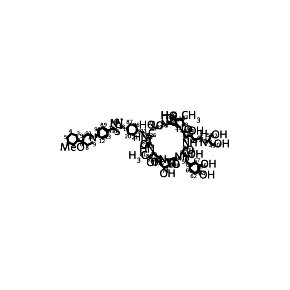 COC1(C2CCCCC2)CCN(c2ccc(-c3nnc([C@H]4CC[C@H](CN[C@H]5C[C@@H](O)CNC(=O)[C@@H]6[C@@H](O)[C@@H](C)CN6C(=O)[C@H]([C@H](O)CCNC(CO)CO)NC(=O)[C@H]([C@H](O)Cc6ccc(O)c(O)c6)NC(=O)[C@@H]6C[C@@H](O)CN6C(=O)[C@H]([C@@H](C)O)NC5=O)CC4)s3)cc2)CC1